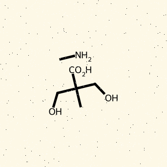 CC(CO)(CO)C(=O)O.CN